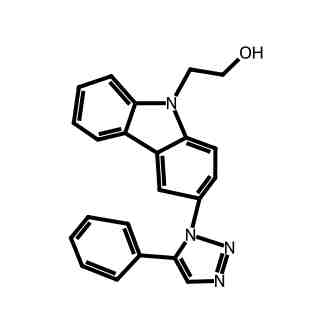 OCCn1c2ccccc2c2cc(-n3nncc3-c3ccccc3)ccc21